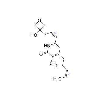 C/C=C\CCC1=C(C)C(=O)NC(/C=C\CC2(O)COC2)C1